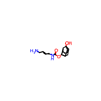 NC/C=C/CNC(=O)OC1C2CC3CC1CC(O)(C3)C2